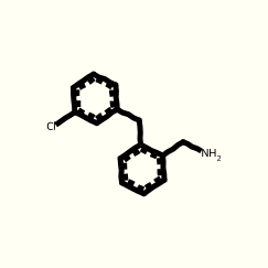 NCc1ccccc1Cc1cccc(Cl)c1